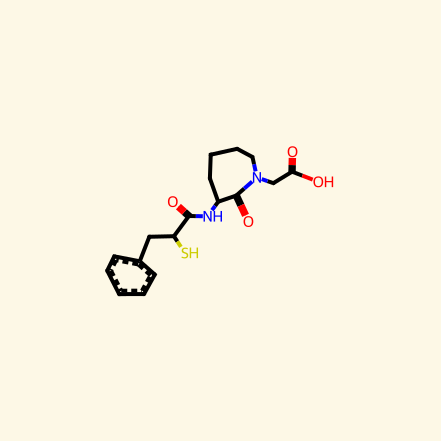 O=C(O)CN1CCCCC(NC(=O)C(S)Cc2ccccc2)C1=O